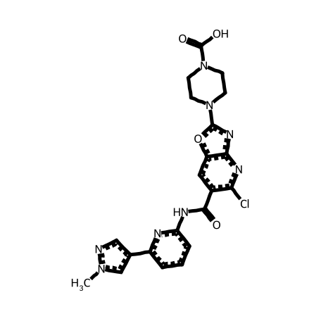 Cn1cc(-c2cccc(NC(=O)c3cc4oc(N5CCN(C(=O)O)CC5)nc4nc3Cl)n2)cn1